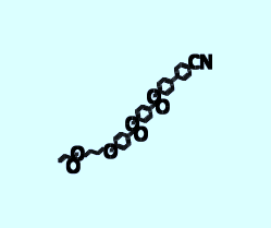 C=CC(=O)OCCCCOc1ccc(C(=O)Oc2ccc(C(=O)Oc3ccc(-c4ccc(C#N)cc4)cc3)cc2)cc1